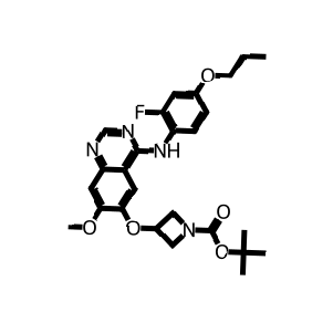 CCCOc1ccc(Nc2ncnc3cc(OC)c(OC4CN(C(=O)OC(C)(C)C)C4)cc23)c(F)c1